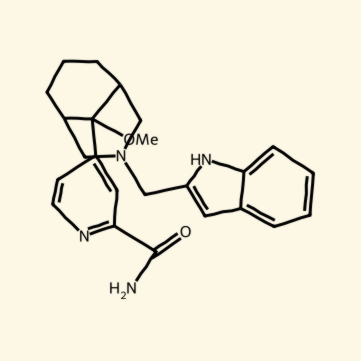 COC1(c2ccnc(C(N)=O)c2)C2CCCC1CN(Cc1cc3ccccc3[nH]1)C2